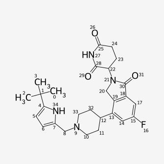 CC(C)(C)c1ccc(CN2CCC(c3cc(F)cc4c3CN(C3CCC(=O)NC3=O)C4=O)CC2)[nH]1